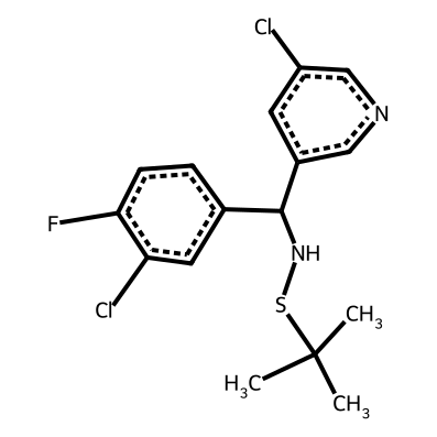 CC(C)(C)SNC(c1cncc(Cl)c1)c1ccc(F)c(Cl)c1